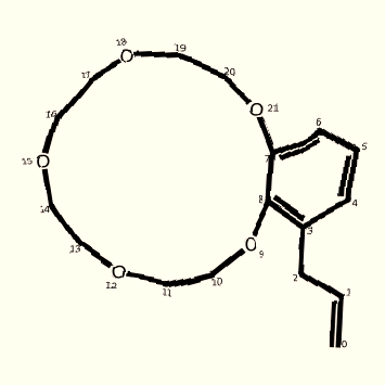 C=CCc1cccc2c1OCCOCCOCCOCCO2